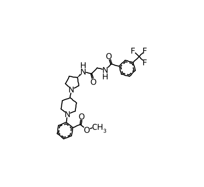 COC(=O)c1ccccc1N1CCC(N2CC[C@@H](NC(=O)CNC(=O)c3cccc(C(F)(F)F)c3)C2)CC1